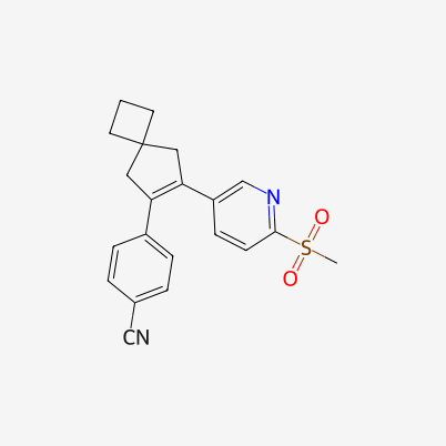 CS(=O)(=O)c1ccc(C2=C(c3ccc(C#N)cc3)CC3(CCC3)C2)cn1